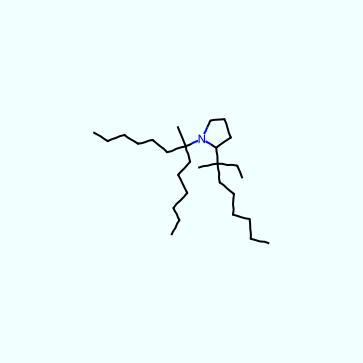 CCCCCCC(C)(CC)C1CCCN1C(C)(CCCCCC)CCCCCC